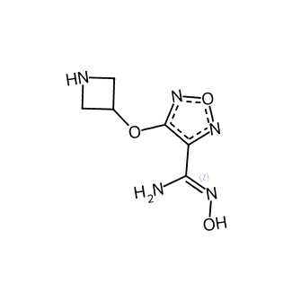 N/C(=N\O)c1nonc1OC1CNC1